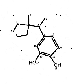 CCC(C)(CC)C(C)c1ccc(O)c(O)c1